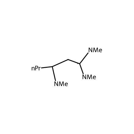 CCCC(C[C](NC)NC)NC